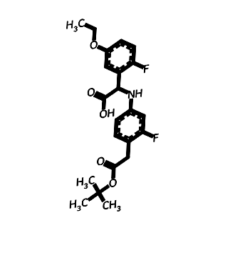 CCOc1ccc(F)c(C(Nc2ccc(CC(=O)OC(C)(C)C)c(F)c2)C(=O)O)c1